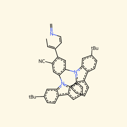 C=N/C=C\C(=C/C)c1cc(-n2c3ccccc3c3ccc(C(C)(C)C)cc32)c(-n2c3ccccc3c3ccc(C(C)(C)C)cc32)cc1C#N